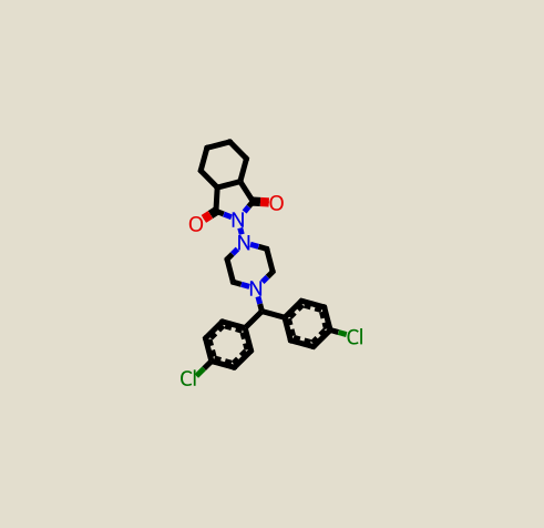 O=C1C2CCCCC2C(=O)N1N1CCN(C(c2ccc(Cl)cc2)c2ccc(Cl)cc2)CC1